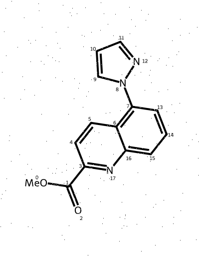 COC(=O)c1ccc2c(-n3cccn3)cccc2n1